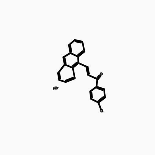 Br.O=C(/C=C/c1c2ccccc2cc2ccccc12)c1ccc(Cl)cc1